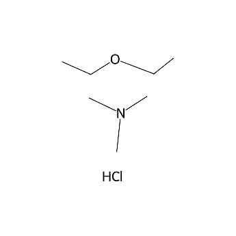 CCOCC.CN(C)C.Cl